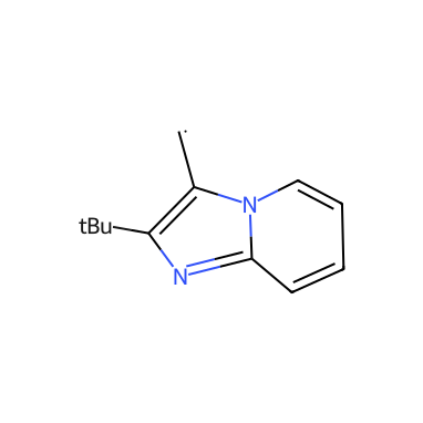 [CH2]c1c(C(C)(C)C)nc2ccccn12